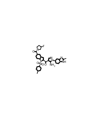 Cc1ccc(S(=O)(=O)n2c(C(=O)c3cnn(-c4ccc5[nH]c(C)nc5c4)c3N)cc3cc(C(=O)N4CC[C@@H](F)C4)ccc32)cc1